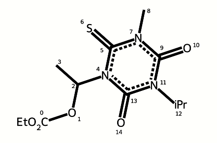 CCOC(=O)OC(C)n1c(=S)n(C)c(=O)n(C(C)C)c1=O